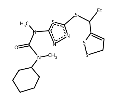 CCC(Sc1nnc(N(C)C(=O)N(C)C2CCCCC2)s1)C1=CCSS1